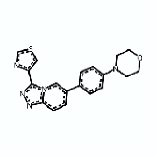 c1nc(-c2nnc3ccc(-c4ccc(N5CCOCC5)cc4)cn23)cs1